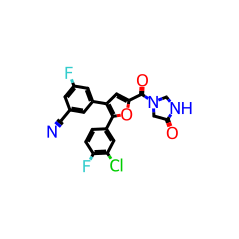 N#Cc1cc(F)cc(-c2cc(C(=O)N3CNC(=O)C3)oc2-c2ccc(F)c(Cl)c2)c1